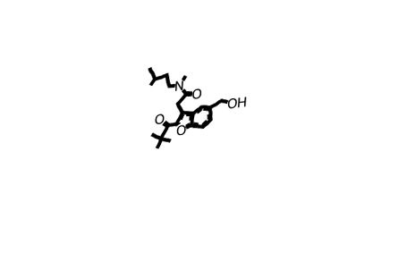 CC(C)CCN(C)C(=O)Cc1c(C(=O)C(C)(C)C)oc2ccc(CO)cc12